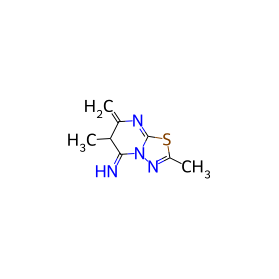 C=C1N=C2SC(C)=NN2C(=N)C1C